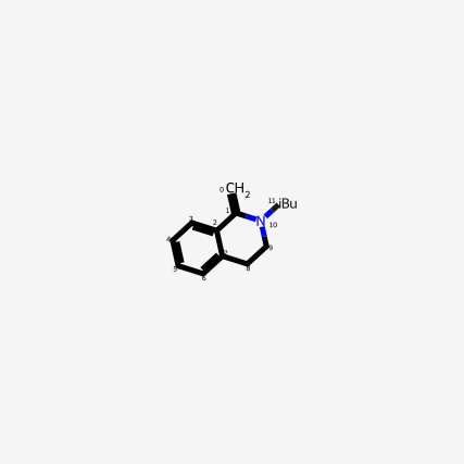 C=C1c2ccccc2CCN1C(C)CC